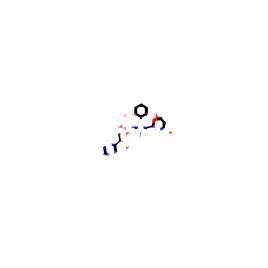 COc1cccc(-c2nnc(NS(=O)(=O)[C@@H](C)[C@@H](OC)c3cnc(C)cn3)n2-c2c(OC)cccc2OC)n1